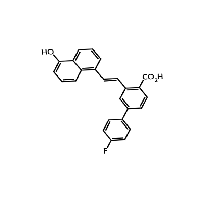 O=C(O)c1ccc(-c2ccc(F)cc2)cc1C=Cc1cccc2c(O)cccc12